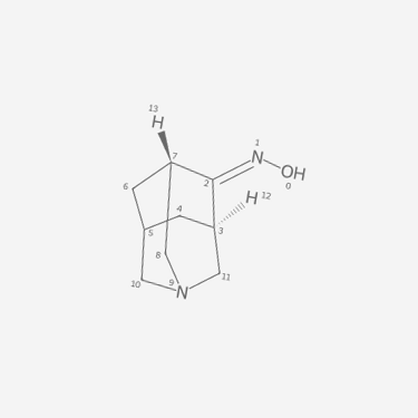 ON=C1[C@@H]2CC3C[C@H]1CN(C3)C2